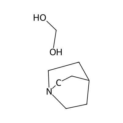 C1CN2CCC1CC2.OCO